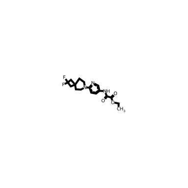 CCOC(=O)C(=O)Nc1ccc(N2CCC3(CC2)CC(F)(F)C3)nc1